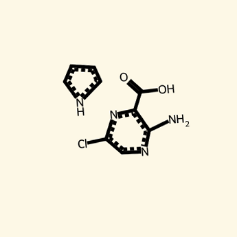 Nc1ncc(Cl)nc1C(=O)O.c1cc[nH]c1